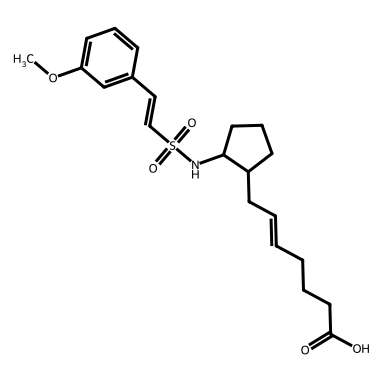 COc1cccc(C=CS(=O)(=O)NC2CCCC2CC=CCCCC(=O)O)c1